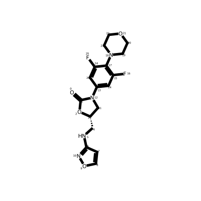 O=C1O[C@@H](CNc2ccon2)CN1c1cc(F)c(N2CCOCC2)c(F)c1